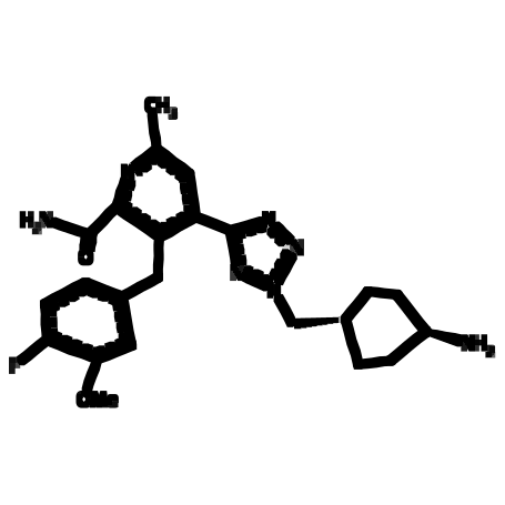 COc1cc(Cc2c(-c3nnn(C[C@H]4CC[C@H](N)CC4)n3)cc(C)nc2C(N)=O)ccc1F